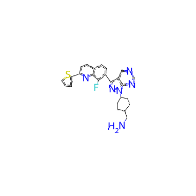 NCC1CCC(n2nc(-c3ccc4ccc(-c5cccs5)nc4c3F)c3cncnc32)CC1